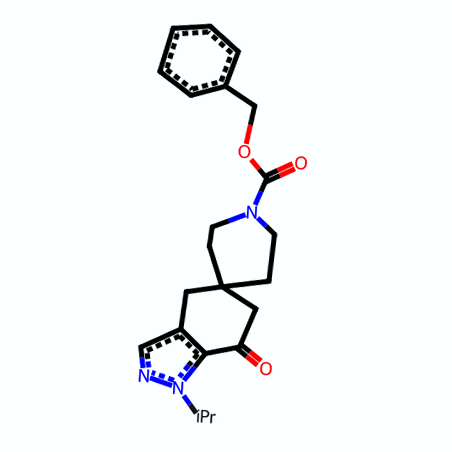 CC(C)n1ncc2c1C(=O)CC1(CCN(C(=O)OCc3ccccc3)CC1)C2